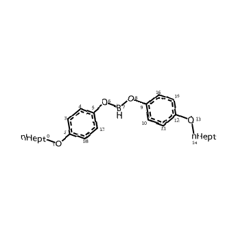 CCCCCCCOc1ccc(OBOc2ccc(OCCCCCCC)cc2)cc1